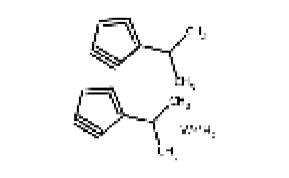 CC(C)C1=C=CC#C1.CC(C)C1=C=CC#C1.[WH2+2]